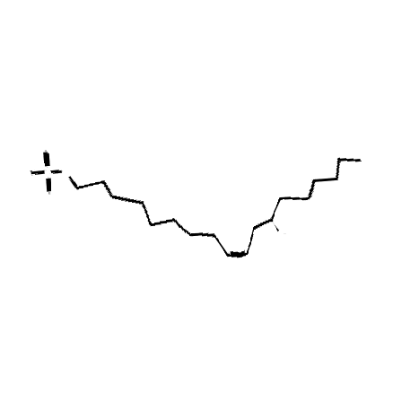 CCCCCC[C@@H](O)C/C=C\CCCCCCCCOS(C)(=O)=O